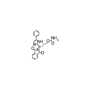 NC(=O)OCCC[C@@H](c1ncc(-c2ccccc2)[nH]1)N1C(=O)c2ccccc2C1=O